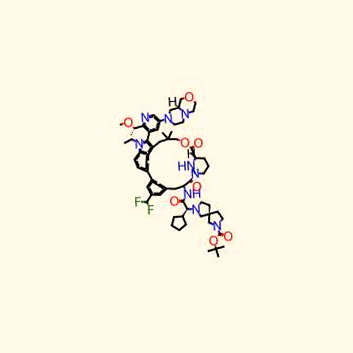 CCn1c(-c2cc(N3CCN4CCOC[C@@H]4C3)cnc2[C@H](C)OC)c2c3cc(ccc31)-c1cc(cc(C(F)F)c1)C[C@H](NC(=O)[C@H](C1CCCC1)N1CC[C@]3(CCN(C(=O)OC(C)(C)C)C3)C1)C(=O)N1CCC[C@H](N1)C(=O)OCC(C)(C)C2